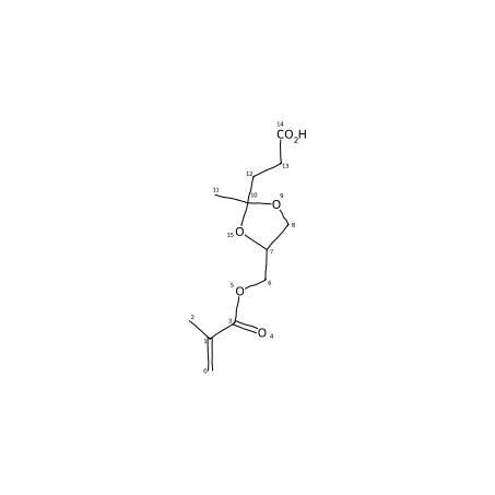 C=C(C)C(=O)OCC1COC(C)(CCC(=O)O)O1